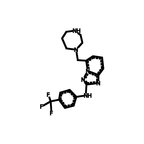 FC(F)(F)c1ccc(Nc2nc3cccc(CN4CCCNCC4)n3n2)cc1